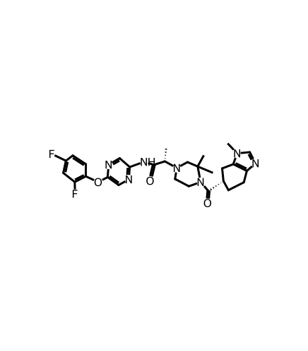 C[C@@H](C(=O)Nc1cnc(Oc2ccc(F)cc2F)cn1)N1CCN(C(=O)[C@H]2CCc3ncn(C)c3C2)C(C)(C)C1